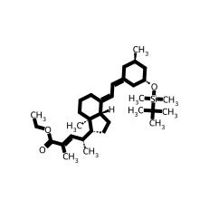 CCOC(=O)/C(C)=C/[C@@H](C)[C@H]1CC[C@H]2/C(=C/C=C3/C[C@@H](C)C[C@H](O[Si](C)(C)C(C)(C)C)C3)CCC[C@]12C